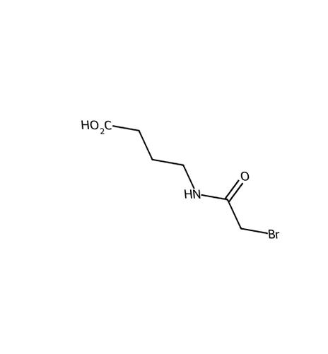 O=C(O)CCCNC(=O)CBr